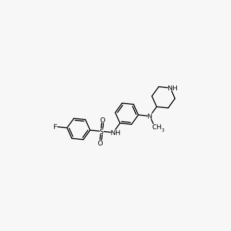 CN(c1cccc(NS(=O)(=O)c2ccc(F)cc2)c1)C1CCNCC1